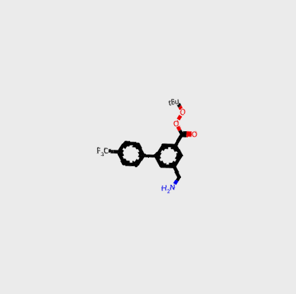 CC(C)(C)OOC(=O)c1cc(CN)cc(-c2ccc(C(F)(F)F)cc2)c1